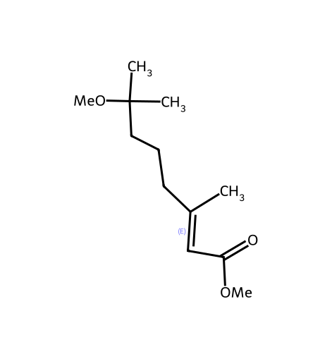 COC(=O)/C=C(\C)CCCC(C)(C)OC